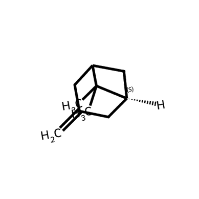 C=C1CC2C[C@@H](C1)C2(C)C